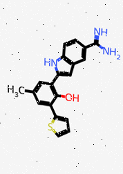 Cc1cc(-c2cc3cc(C(=N)N)ccc3[nH]2)c(O)c(-c2cccs2)c1